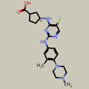 Cc1cc(Nc2ncc(F)c(N[C@H]3CCC(C(=O)O)C3)n2)ccc1N1CCN(C)CC1